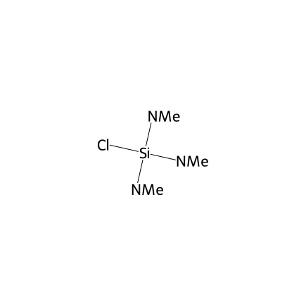 CN[Si](Cl)(NC)NC